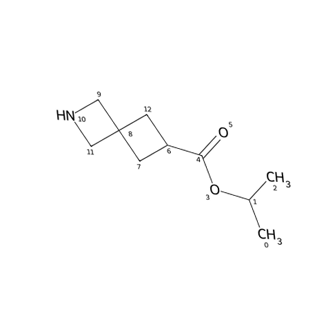 CC(C)OC(=O)C1CC2(CNC2)C1